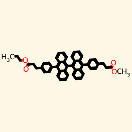 CCCOC(=O)CCc1ccc(-c2c3ccccc3c(-c3c4ccccc4c(-c4ccc(CCC(=O)OC)cc4)c4ccccc34)c3ccccc23)cc1